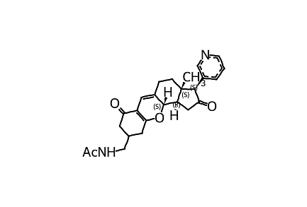 CC(=O)NCC1CC(=O)C2=C(C1)O[C@@H]1C(=C2)CC[C@]2(C)[C@@H](c3cccnc3)C(=O)C[C@@H]12